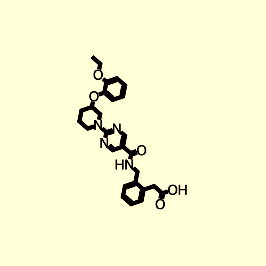 CCOc1ccccc1OC1CCCN(c2ncc(C(=O)NCc3ccccc3CC(=O)O)cn2)C1